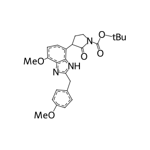 COc1ccc(Cc2nc3c(OC)ccc(C4CCN(C(=O)OC(C)(C)C)C4=O)c3[nH]2)cc1